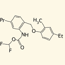 CCc1ccc(OCc2ccc(C(C)C)cc2NC(=O)OC(F)F)c(C)c1